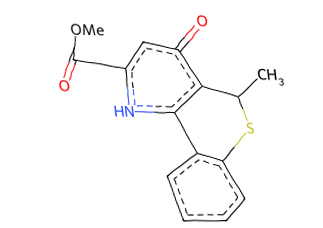 COC(=O)c1cc(=O)c2c([nH]1)-c1ccccc1SC2C